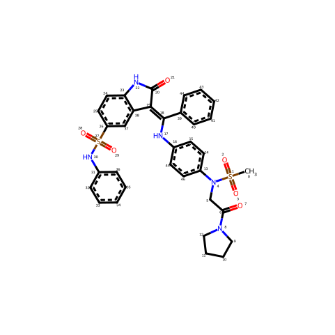 CS(=O)(=O)N(CC(=O)N1CCCC1)c1ccc(NC(=C2C(=O)Nc3ccc(S(=O)(=O)Nc4ccccc4)cc32)c2ccccc2)cc1